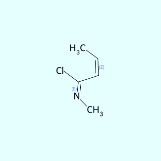 C/C=C\C(Cl)=N/C